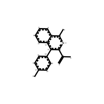 C=C(C)c1nc(C)c2ccccc2c1-c1ccc(C)cc1